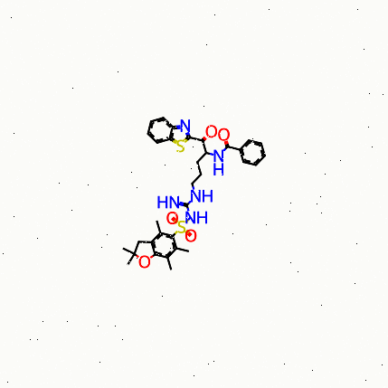 Cc1c(C)c(S(=O)(=O)NC(=N)NCCCC(NC(=O)c2ccccc2)C(=O)c2nc3ccccc3s2)c(C)c2c1OC(C)(C)C2